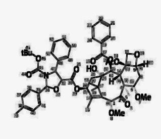 CO[C@H]1C(=O)[C@]2(C)[C@@H](OC)C[C@H]3OC[C@@]3(OC(C)=O)[C@H]2[C@H](OC(=O)c2ccccc2)[C@]2(O)C[C@H](OC(=O)C3OC(c4ccc(C)cc4)N(C(=O)OC(C)(C)C)C3c3ccccc3)C(C)=C1C2(C)C